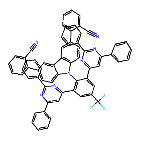 N#Cc1ccccc1-c1ccc2c(c1)c1cc(-c3ccccc3C#N)ccc1n2-c1c(-c2cc(-c3ccccc3)nc(-c3ccccc3)n2)cc(C(F)(F)F)cc1-c1cc(-c2ccccc2)nc(-c2ccccc2)n1